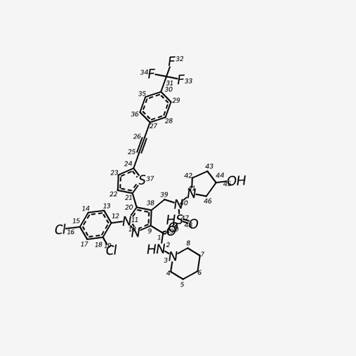 O=C(NN1CCCCC1)c1nn(-c2ccc(Cl)cc2Cl)c(-c2ccc(C#Cc3ccc(C(F)(F)F)cc3)s2)c1CN(N1CCC(O)C1)[SH](=O)=O